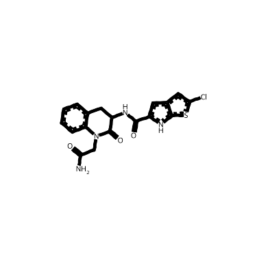 NC(=O)CN1C(=O)C(NC(=O)c2cc3cc(Cl)sc3[nH]2)Cc2ccccc21